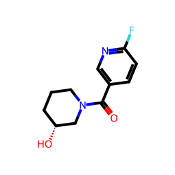 O=C(c1ccc(F)nc1)N1CCC[C@@H](O)C1